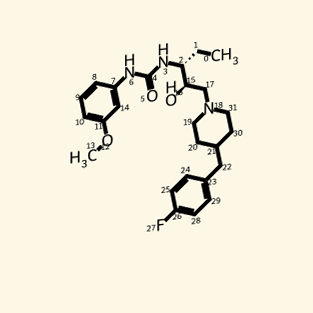 CC[C@@H](NC(=O)Nc1cccc(OC)c1)[C@H](O)CN1CCC(Cc2ccc(F)cc2)CC1